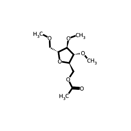 COC[C@H]1O[C@H](COC(C)=O)[C@@H](OC)[C@@H]1OC